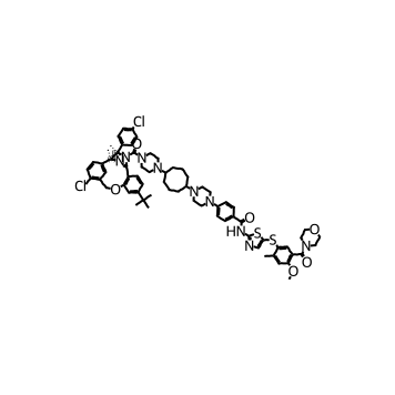 COc1cc(C)c(Sc2cnc(NC(=O)c3ccc(N4CCN(C5CCCC(N6CCN(C(=O)N7C8=N[C@@](C)(c9ccc(Cl)c(c9)COc9cc(C(C)(C)C)ccc98)[C@@]7(C)c7ccc(Cl)cc7)CC6)CCC5)CC4)cc3)s2)cc1C(=O)N1CCOCC1